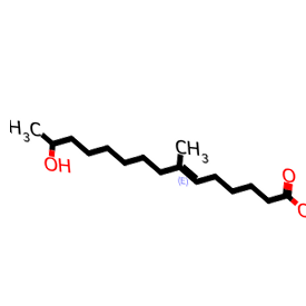 C/C(=C\CCCCC(=O)O)CCCCCCC(C)O